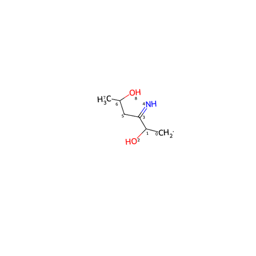 [CH2]C(O)C(=N)CC(C)O